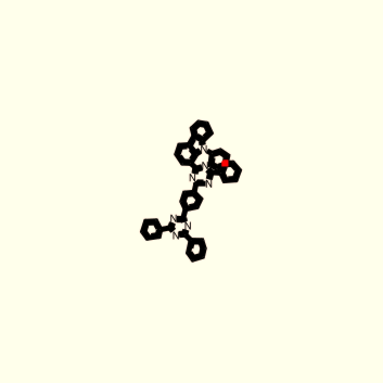 c1ccc(-c2nc(-c3ccccc3)nc(-c3ccc(-c4nc(-c5ccccc5)nc(-c5cccc6c7ccccc7n(-c7ccccc7)c56)n4)cc3)n2)cc1